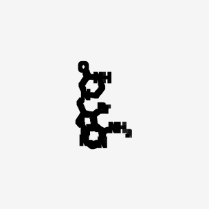 Nc1ncnn2cc(CN3CCNC(=O)C3)c(Br)c12